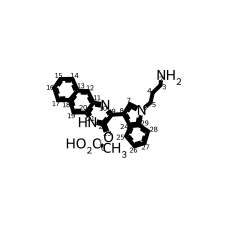 CC(=O)O.NCCCn1cc(-c2nc3cc4ccccc4cc3[nH]c2=O)c2ccccc21